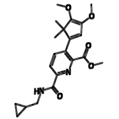 COC(=O)c1nc(C(=O)NCC2CC2)ccc1C1=CC(OC)=C(OC)C1(C)C